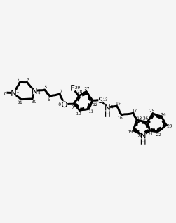 CN1CCN(CCCOc2ccc(SNCCCc3c[nH]c4ccccc34)cc2F)CC1